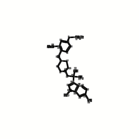 CCOC(=O)Cc1ccc(OC2CCN(CC(O)(c3cn(CC)c4cc(C#N)ccc34)C(F)(F)F)CC2)c(OC)c1